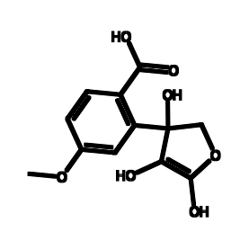 COc1ccc(C(=O)O)c(C2(O)COC(O)=C2O)c1